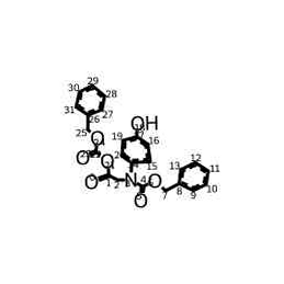 O=C(CN(C(=O)OCc1ccccc1)c1ccc(O)cc1)OC(=O)OCc1ccccc1